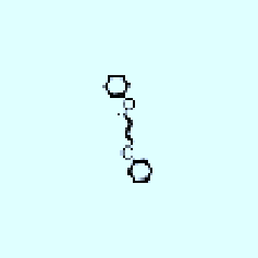 [CH](CCCOC1CCCCC1)OC1CCCCC1